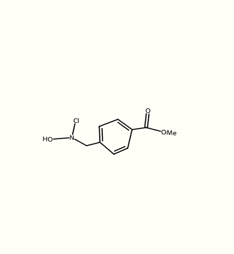 COC(=O)c1ccc(CN(O)Cl)cc1